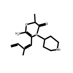 C=C/C(C)=C\C1=C(N)OC(C)C(=O)N1C1CCNCC1